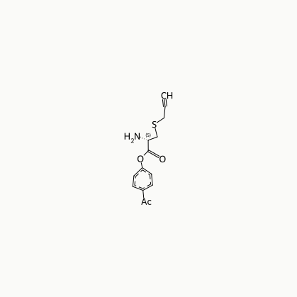 C#CCSC[C@@H](N)C(=O)Oc1ccc(C(C)=O)cc1